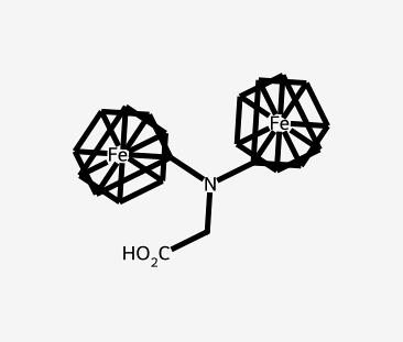 O=C(O)CN([C]12[CH]3[CH]4[CH]5[CH]1[Fe]45321678[CH]2[CH]1[CH]6[CH]7[CH]28)[C]12[CH]3[CH]4[CH]5[CH]1[Fe]45321678[CH]2[CH]1[CH]6[CH]7[CH]28